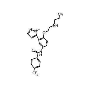 Cn1nccc1-c1cc(NC(=O)c2ccc(C(F)(F)F)cc2)ccc1OCCNCCO